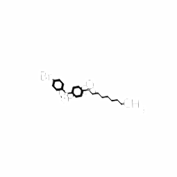 CCCCCCC[CH2][Co](=[O])[c]1cc[c]([Co](=[O])[c]2ccc(Br)cc2)cc1